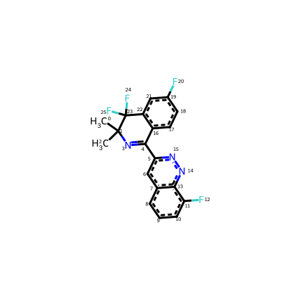 CC1(C)N=C(c2cc3cccc(F)c3nn2)c2ccc(F)cc2C1(F)F